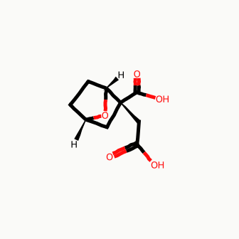 O=C(O)C[C@@]1(C(=O)O)C[C@@H]2CC[C@H]1O2